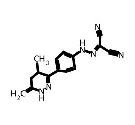 C=C1CC(C)C(c2ccc(NN=C(C#N)C#N)cc2)=NN1